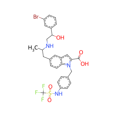 CC(Cc1ccc2c(c1)cc(C(=O)O)n2Cc1ccc(NS(=O)(=O)C(F)(F)F)cc1)NCC(O)c1cccc(Br)c1